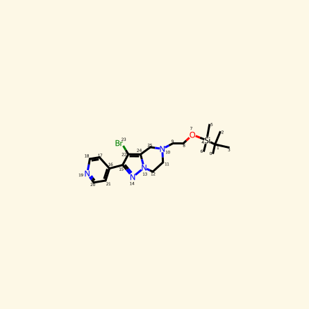 CC(C)(C)[Si](C)(C)OCCN1CCn2nc(-c3ccncc3)c(Br)c2C1